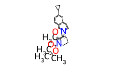 C[C@@H]1[C@H](n2ccc3cc(C4CC4)ccc3c2=O)CCCN1C(=O)OC(C)(C)C